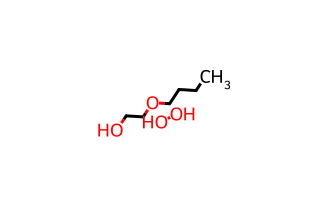 CCCCOCCO.OO